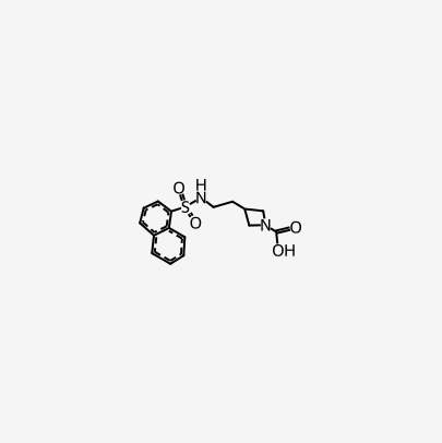 O=C(O)N1CC(CCNS(=O)(=O)c2cccc3ccccc23)C1